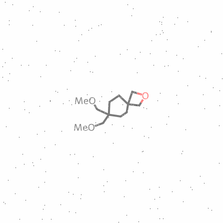 COCC1(COC)CCC2(CC1)COC2